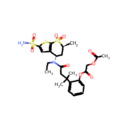 CCN(C(=O)CC(C)(C)c1ccccc1OC(=O)COC(C)=O)[C@H]1C[C@H](C)S(=O)(=O)c2sc(S(N)(=O)=O)cc21